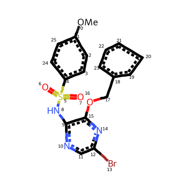 COc1ccc(S(=O)(=O)Nc2ncc(Br)nc2OCc2ccccc2)cc1